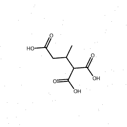 CC(CC(=O)O)C(C(=O)O)C(=O)O